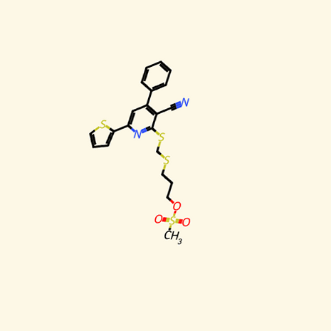 CS(=O)(=O)OCCCSCSc1nc(-c2cccs2)cc(-c2ccccc2)c1C#N